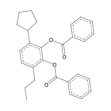 CCCc1ccc(C2CCCC2)c(OC(=O)c2ccccc2)c1OC(=O)c1ccccc1